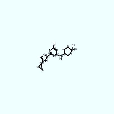 FC1(F)CCC(Nc2cc(Cl)nc(-c3nc(C4CC4)cs3)n2)CC1